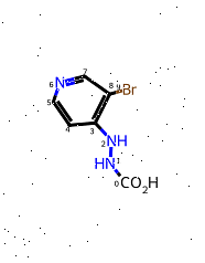 O=C(O)NNc1ccncc1Br